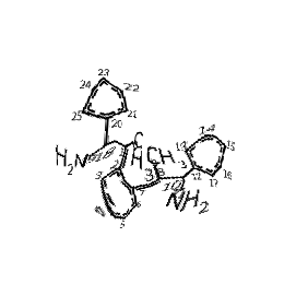 CC(=c1ccccc1=C(C)C(N)c1ccccc1)C(N)c1ccccc1